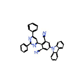 N#Cc1cc(-n2c3ccccc3c3ccccc32)cc(C#N)c1-c1cc(-c2ccccc2)nc(-c2ccccc2)n1